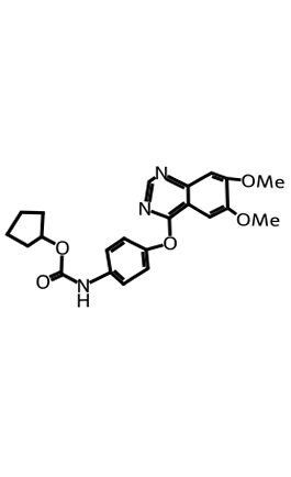 COc1cc2ncnc(Oc3ccc(NC(=O)OC4CCCC4)cc3)c2cc1OC